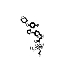 CN(CCF)S(=O)(=O)NC(=O)c1cnc2ccc(N3CCC[C@@H]3c3cc(F)ccc3OC3CCOCC3)cn12